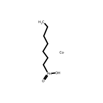 CCCCCCC[PH](=O)O.[Co]